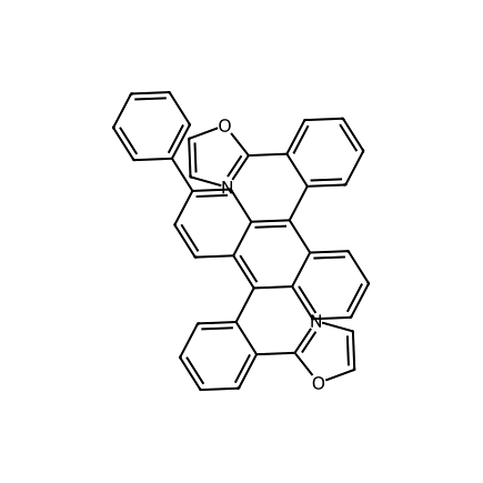 c1ccc(-c2ccc3c(-c4ccccc4-c4ncco4)c4ccccc4c(-c4ccccc4-c4ncco4)c3c2)cc1